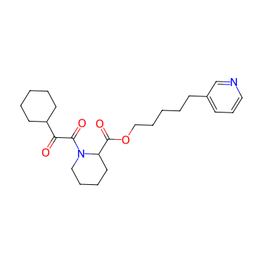 O=C(C(=O)N1CCCCC1C(=O)OCCCCCc1cccnc1)C1CCCCC1